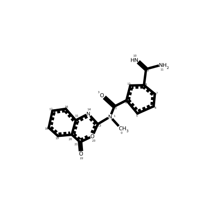 CN(C(=O)c1cccc(C(=N)N)c1)c1nc2ccccc2c(=O)o1